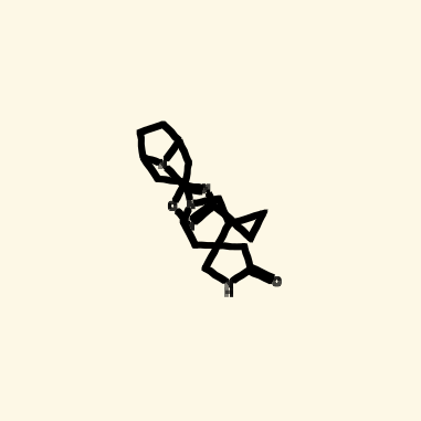 O=C1CC2(CCN(C3CC4CCC(C3)N4c3nc(C4CC4)no3)CC2)CN1